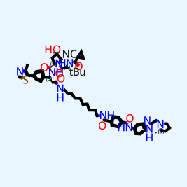 Cc1ncsc1-c1ccc([C@H](CC(=O)NCCCCCCCCCCNC(=O)c2ccc(C(=O)Nc3ccc4[nH]c(CN5CCC[C@@H]5C)nc4c3)cc2)NC(=O)[C@@H]2C[C@@H](O)CN2C(=O)[C@@H](NC(=O)C2(C#N)CC2)C(C)(C)C)cc1